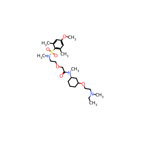 CCN(C)CCOC1CCC[C@@H](N(C)C(=O)COCCN(C)S(=O)(=O)c2c(C)cc(OC)cc2C)C1